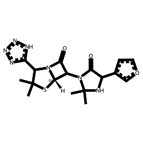 CC1(C)S[C@H]2C(N3C(=O)C(c4ccoc4)NC3(C)C)C(=O)N2C1c1nnn[nH]1